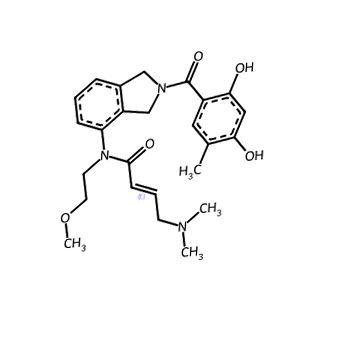 COCCN(C(=O)/C=C/CN(C)C)c1cccc2c1CN(C(=O)c1cc(C)c(O)cc1O)C2